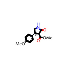 COC(=O)C1C(=O)NC[C@@H]1c1ccc(OC)cc1